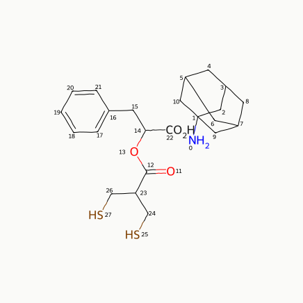 NC12CC3CC(CC(C3)C1)C2.O=C(OC(Cc1ccccc1)C(=O)O)C(CS)CS